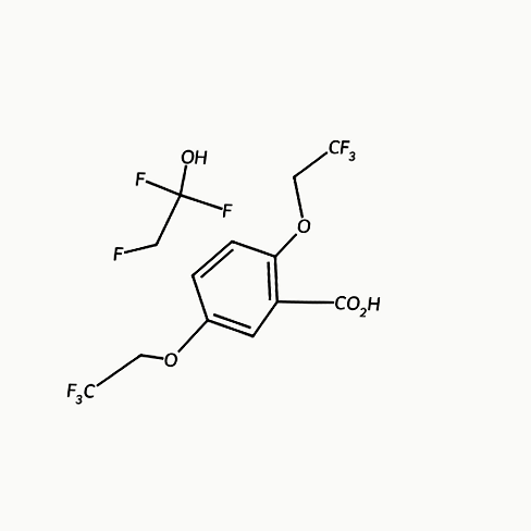 O=C(O)c1cc(OCC(F)(F)F)ccc1OCC(F)(F)F.OC(F)(F)CF